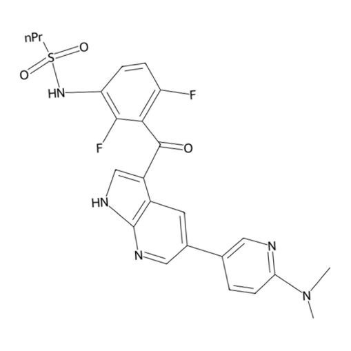 CCCS(=O)(=O)Nc1ccc(F)c(C(=O)c2c[nH]c3ncc(-c4ccc(N(C)C)nc4)cc23)c1F